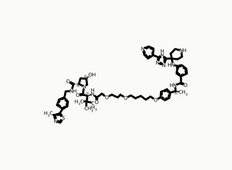 Cc1ncsc1-c1ccc(CNC(=O)[C@@H]2C[C@@H](O)CN2C(=O)[C@@H](NC(=O)COCCCOCCCCCOc2ccc([C@H](C)NC(=O)c3cccc(NC4(c5nnc(-c6ccncc6)[nH]5)CCNCC4)c3)cc2)C(C)(C)C)cc1